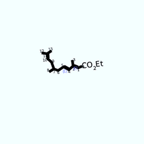 CCOC(=O)/C=C(C)/C=C/CC(C)CC=C(C)C